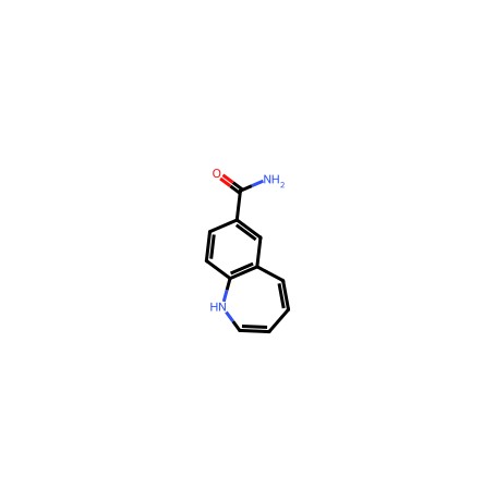 NC(=O)c1ccc2c(c1)C=CC=CN2